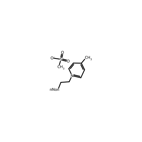 CCCCCCCCCCC[n+]1ccc(C)cc1.CS(=O)(=O)[O-]